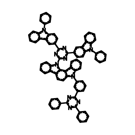 c1ccc(-c2nc(-c3ccccc3)nc(-c3cccc(-n4c5ccccc5c5c4ccc4c6ccccc6n(-c6nc(-c7ccc8c(c7)c7ccccc7n8-c7ccccc7)nc(-c7ccc8c(c7)c7ccccc7n8-c7ccccc7)n6)c45)c3)n2)cc1